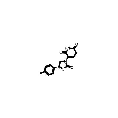 Cc1ccc([C@H]2CN(C3CCC(=O)NC3=O)C(=O)O2)cc1